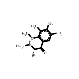 Cc1cc(C(=O)[C@@H](NC(=O)O)C(C)C)c(O[SiH3])c(C)c1C(C)(C)C